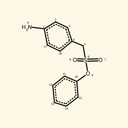 Nc1ccc(CS(=O)(=O)Oc2ccccc2)cc1